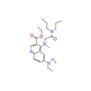 CCCN(CCC)C(=O)CN(C)c1c(C(=O)OCC)cnc2ccc(N(CC)CC)cc12